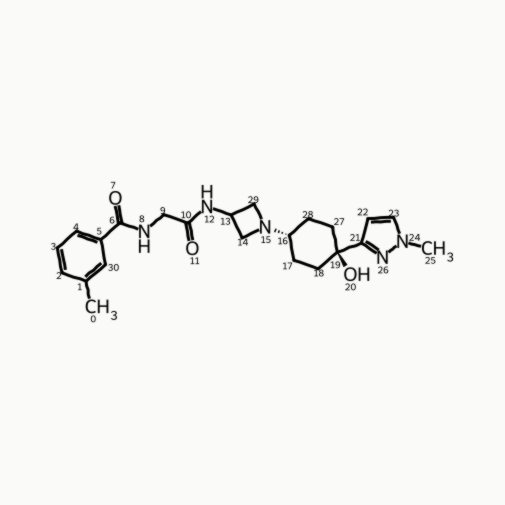 Cc1cccc(C(=O)NCC(=O)NC2CN([C@H]3CC[C@@](O)(c4ccn(C)n4)CC3)C2)c1